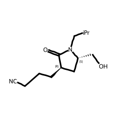 CC(C)CN1C(=O)[C@H](CCCC#N)C[C@H]1CO